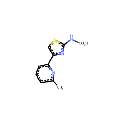 Cc1cccc(-c2csc(NC(=O)O)n2)n1